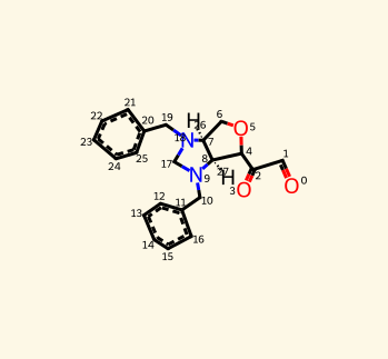 O=CC(=O)C1OC[C@H]2[C@@H]1N(Cc1ccccc1)CN2Cc1ccccc1